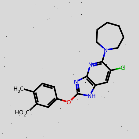 Cc1ccc(Oc2nc3nc(N4CCCCCC4)c(Cl)cc3[nH]2)cc1C(=O)O